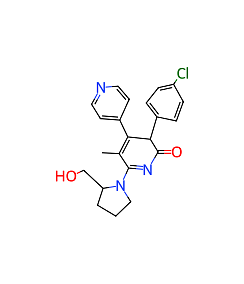 CC1=C(c2ccncc2)C(c2ccc(Cl)cc2)C(=O)N=C1N1CCCC1CO